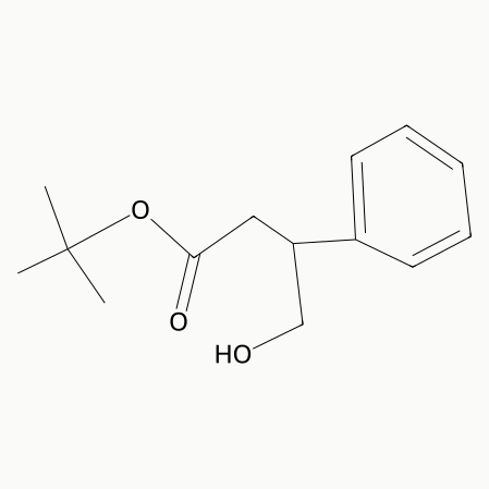 CC(C)(C)OC(=O)CC(CO)c1ccccc1